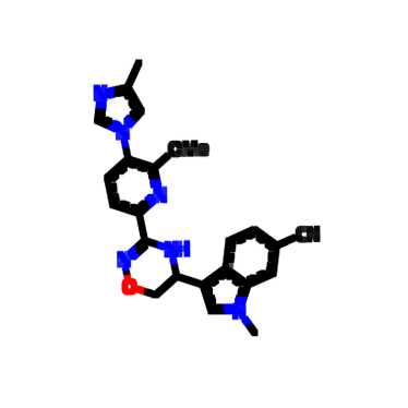 COc1nc(C2=NOCC(c3cn(C)c4cc(C#N)ccc34)N2)ccc1-n1cnc(C)c1